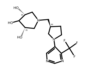 OC1[C@H](O)CN(C[C@H]2CCN(c3cncnc3C(F)(F)F)C2)C[C@@H]1O